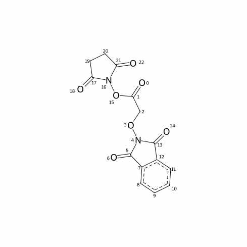 O=C(CON1C(=O)c2ccccc2C1=O)ON1C(=O)CCC1=O